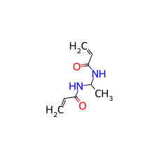 C=CC(=O)NC(C)NC(=O)C=C